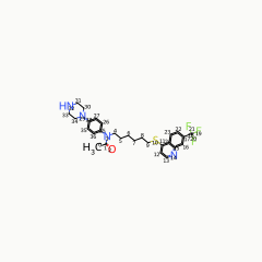 CC(=O)N(CCCCCCSc1ccnc2cc(C(F)(F)F)ccc12)c1ccc(N2CCNCC2)cc1